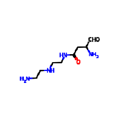 NCCNCCNC(=O)CC(N)C=O